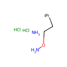 CC(C)CCON.Cl.Cl.N